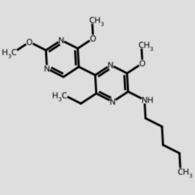 CCCCCNc1nc(CC)c(-c2cnc(OC)nc2OC)nc1OC